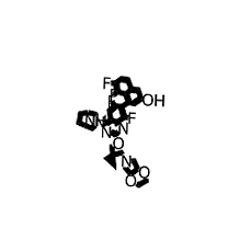 Oc1cc(-c2c(F)cc3c(N4CC5CCC(C4)N5)nc(OCC4(CN5CC6OCCOC6C5)CC4)nc3c2F)c2c(F)c(F)ccc2c1